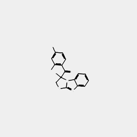 O=C(c1ccc(Cl)cc1Cl)C1(I)CNc2nc3ccccc3n21